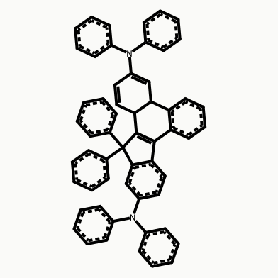 C1=CC2C3=C(c4ccccc4C2C=C1N(c1ccccc1)c1ccccc1)c1ccc(N(c2ccccc2)c2ccccc2)cc1C3(c1ccccc1)c1ccccc1